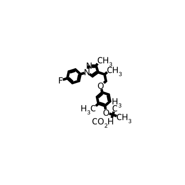 Cc1cc(OCC(C)c2cn(-c3ccc(F)cc3)nc2C)ccc1OC(C)(C)C(=O)O